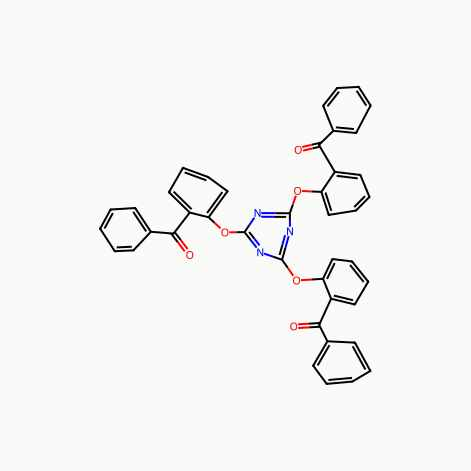 O=C(c1ccccc1)c1ccccc1Oc1nc(Oc2ccccc2C(=O)c2ccccc2)nc(Oc2ccccc2C(=O)c2ccccc2)n1